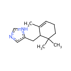 CC1=CCCC(C)(C)C1Cc1cnc[nH]1